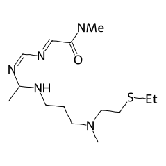 CCSCCN(C)CCCNC(C)/N=C\N=C\C(=O)NC